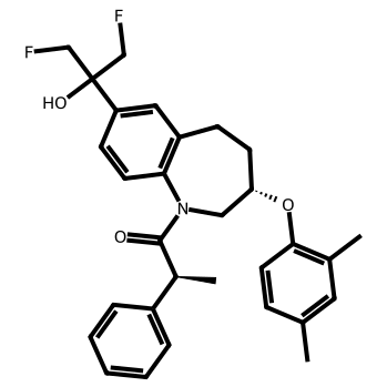 Cc1ccc(O[C@H]2CCc3cc(C(O)(CF)CF)ccc3N(C(=O)[C@@H](C)c3ccccc3)C2)c(C)c1